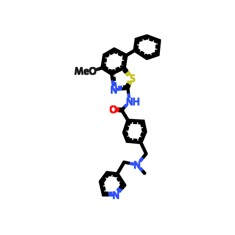 COc1ccc(-c2ccccc2)c2sc(NC(=O)c3ccc(CN(C)Cc4cccnc4)cc3)nc12